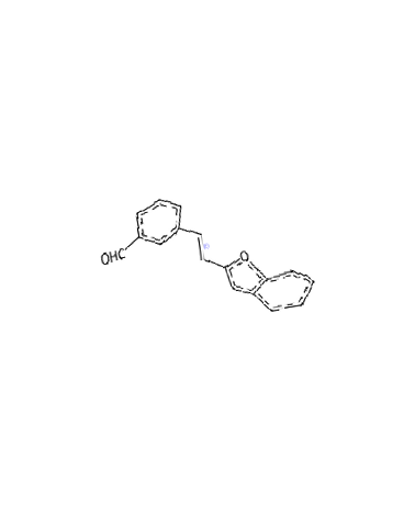 O=Cc1cccc(/C=C/c2cc3ccccc3o2)c1